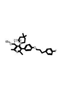 Cc1nc(C)c([C@H](OC(C)(C)C)C(=O)O)c(N2CCC(C)(C)CC2)c1-c1ccc(OCCCc2ccc(F)cc2)cc1